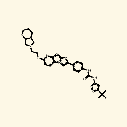 CC(C)(C)c1cc(NC(=O)Nc2ccc(-c3cn4c(n3)sc3nc(OCCN5CC6CCCOC6C5)ccc34)cc2)no1